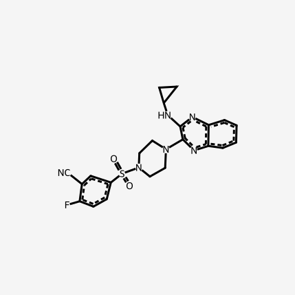 N#Cc1cc(S(=O)(=O)N2CCN(c3nc4ccccc4nc3NC3CC3)CC2)ccc1F